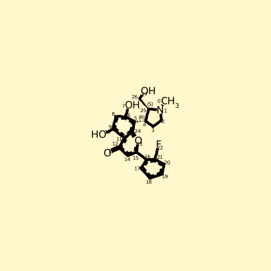 CN1CC[C@H](c2c(O)cc(O)c3c(=O)cc(-c4ccccc4F)oc23)[C@H]1CO